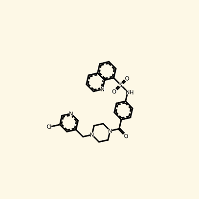 O=C(c1ccc(NS(=O)(=O)c2cccc3cccnc23)cc1)N1CCN(Cc2cncc(Cl)c2)CC1